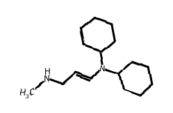 CNCC=CN(C1CCCCC1)C1CCCCC1